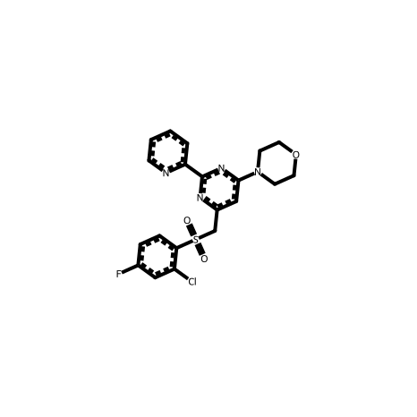 O=S(=O)(Cc1cc(N2CCOCC2)nc(-c2ccccn2)n1)c1ccc(F)cc1Cl